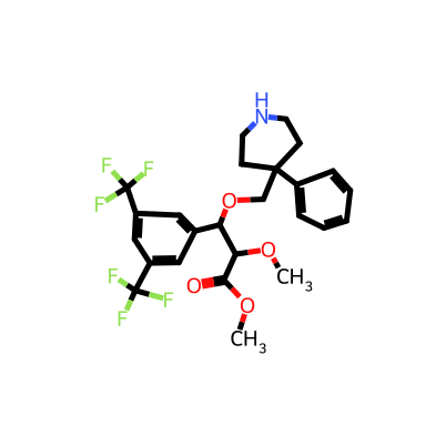 COC(=O)C(OC)C(OCC1(c2ccccc2)CCNCC1)c1cc(C(F)(F)F)cc(C(F)(F)F)c1